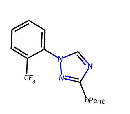 CCCCCc1ncn(-c2ccccc2C(F)(F)F)n1